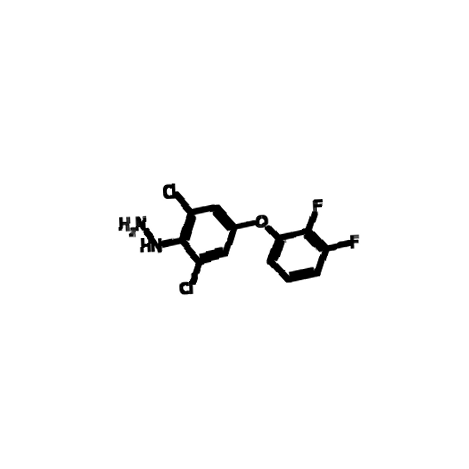 NNc1c(Cl)cc(Oc2cccc(F)c2F)cc1Cl